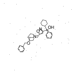 O[C@](c1ccccc1)(c1cc(C[N+]23CCC(CC2)C(OCc2ccccc2)C3)on1)C1CCCCC1